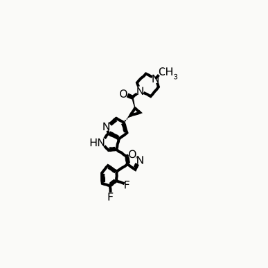 CN1CCN(C(=O)[C@H]2C[C@@H]2c2cnc3[nH]cc(-c4oncc4-c4cccc(F)c4F)c3c2)CC1